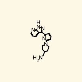 NCC1CCN(c2cccc(-c3n[nH]c4ncccc34)n2)CC1